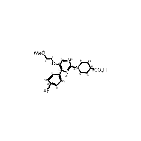 COCCOc1cnc(N2CCC(C(=O)O)CC2)nc1-c1ccc(F)cc1